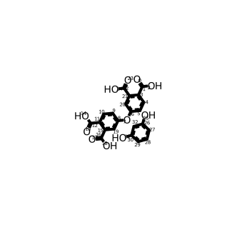 O=C(O)c1ccc(Oc2ccc(C(=O)O)c(C(=O)O)c2)cc1C(=O)O.Oc1cccc(O)c1